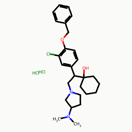 CN(C)C1CCN(CC(c2ccc(OCc3ccccc3)c(Cl)c2)C2(O)CCCCC2)C1.Cl.Cl